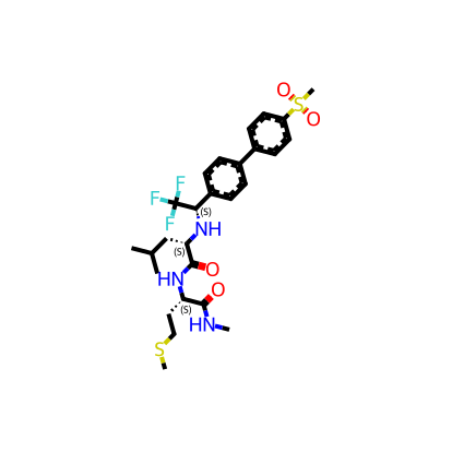 CNC(=O)[C@H](CCSC)NC(=O)[C@H](CC(C)C)N[C@@H](c1ccc(-c2ccc(S(C)(=O)=O)cc2)cc1)C(F)(F)F